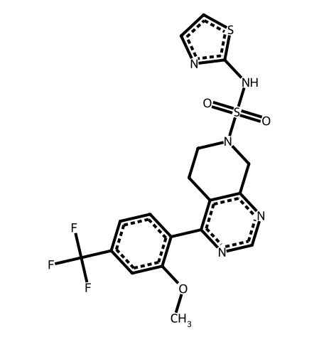 COc1cc(C(F)(F)F)ccc1-c1ncnc2c1CCN(S(=O)(=O)Nc1nccs1)C2